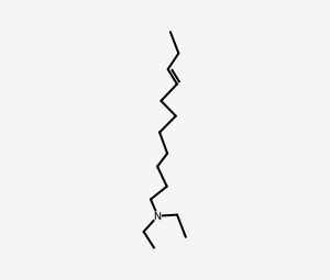 CCC=CCCCCCCCN(CC)CC